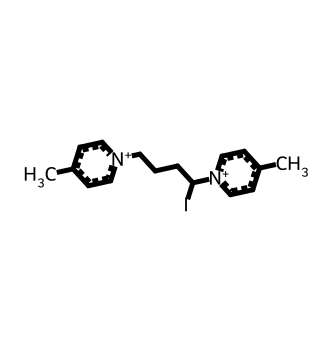 Cc1cc[n+](CCCC(I)[n+]2ccc(C)cc2)cc1